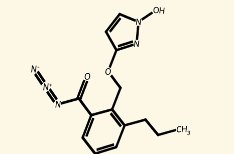 CCCc1cccc(C(=O)N=[N+]=[N-])c1COc1ccn(O)n1